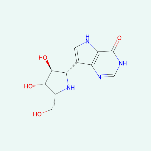 O=c1[nH]cnc2c([C@@H]3N[C@H](CO)[C@H](O)[C@H]3O)c[nH]c12